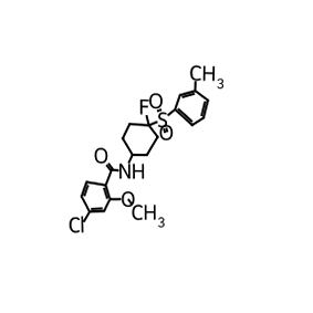 COc1cc(Cl)ccc1C(=O)NC1CCC(F)(S(=O)(=O)c2cccc(C)c2)CC1